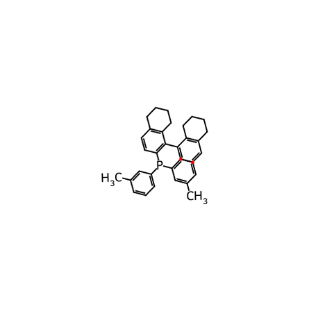 Cc1cccc(P(c2cccc(C)c2)c2ccc3c(c2-c2cccc4c2CCCC4)CCCC3)c1